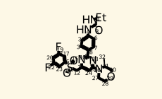 CCNC(=O)Nc1ccc(-c2nc(CS(=O)(=O)c3cc(F)cc(F)c3)cc(N3CCOC[C@@H]3C)n2)cc1